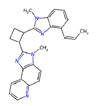 C/C=C\c1cccc2c1nc(C1CCC1c1nc3c4cccnc4ccc3n1C)n2C